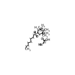 CCCCCCCCS(=O)(=O)C1CC(C)(C)N(C)C(C)(C)C1.[N-]=[N+]=CC(=O)O